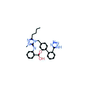 CCCCc1nn(C)c(=Nc2ccccc2C(=O)O)n1Cc1ccc(-c2ccccc2-c2nnn[nH]2)cc1